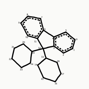 [c]1ccc2c(c1)-c1c[c]ccc1C2(C1CCCCC1)C1CCCCC1